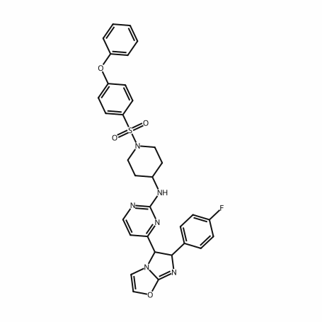 O=S(=O)(c1ccc(Oc2ccccc2)cc1)N1CCC(Nc2nccc(C3C(c4ccc(F)cc4)N=C4OC=CN43)n2)CC1